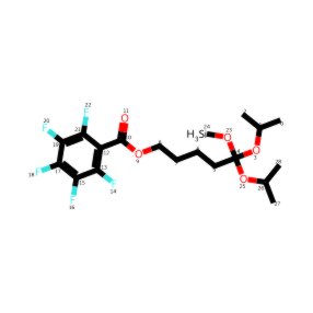 CC(C)OC(CCCCOC(=O)c1c(F)c(F)c(F)c(F)c1F)(O[SiH3])OC(C)C